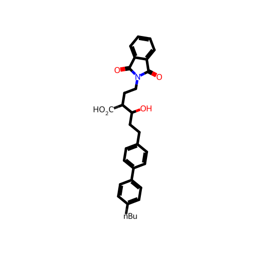 CCCCc1ccc(-c2ccc(CCC(O)C(CCN3C(=O)c4ccccc4C3=O)C(=O)O)cc2)cc1